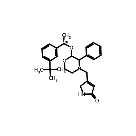 C[C@@H](OC1OCCN(CC2=CC(=O)NC2)C1c1ccccc1)c1cccc(C(C)(C)C)c1